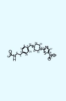 CC(=O)NCCc1ccc(CN2CCN(c3ncc([N+](=O)[O-])s3)CC2)cc1